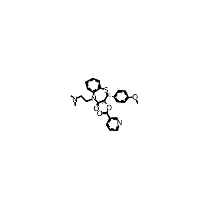 COc1ccc([C@H]2Sc3ccccc3N(CCN(C)C)C(=O)[C@H]2OC(=O)c2cccnc2)cc1